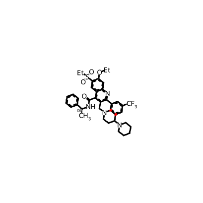 CCOc1cc2nc(-c3cccc(C(F)(F)F)c3)c(CN3CCC(N4CCCCC4)CC3)c(C(=O)N[C@@H](C)c3ccccc3)c2cc1S(=O)(=O)CC